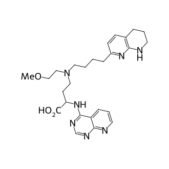 COCCN(CCCCc1ccc2c(n1)NCCC2)CCC(Nc1ncnc2ncccc12)C(=O)O